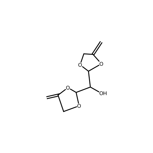 C=C1COC(C(O)C2OCC(=C)O2)O1